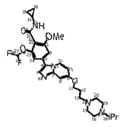 COc1cc(-c2cnc3cc(OCCCN4CCN(C(C)C)CC4)ccn23)cc(OC(F)F)c1C(=O)NC1CC1